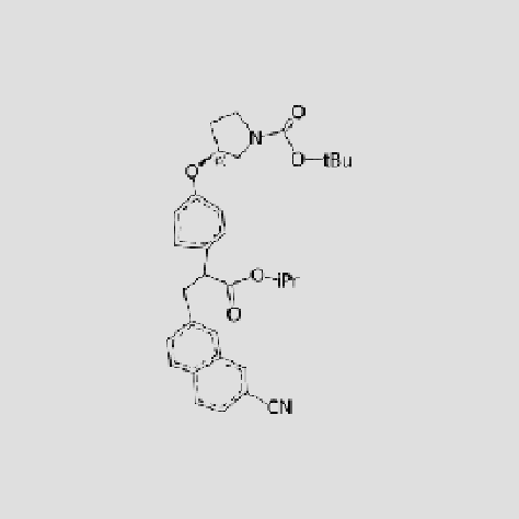 CC(C)OC(=O)C(Cc1ccc2ccc(C#N)cc2c1)c1ccc(O[C@H]2CCN(C(=O)OC(C)(C)C)C2)cc1